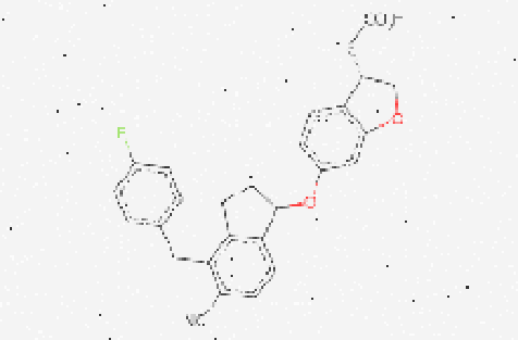 N#Cc1ccc2c(c1Cc1ccc(F)cc1)CC[C@H]2Oc1ccc2c(c1)OC[C@H]2CC(=O)O